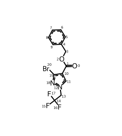 O=C(OCc1ccccc1)c1cn(CC(F)(F)F)nc1Br